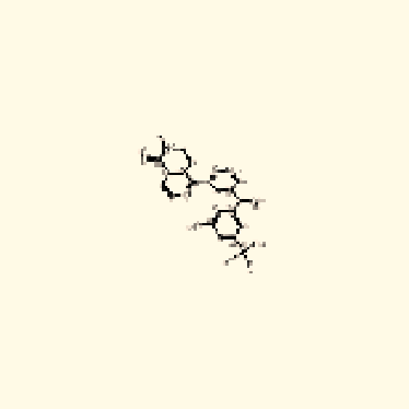 CN1CCc2c(ccnc2-c2cc(C(O)c3cc(F)cc(C(F)(F)F)c3)cnn2)C1=O